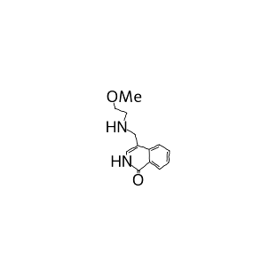 COCCNCc1c[nH]c(=O)c2ccccc12